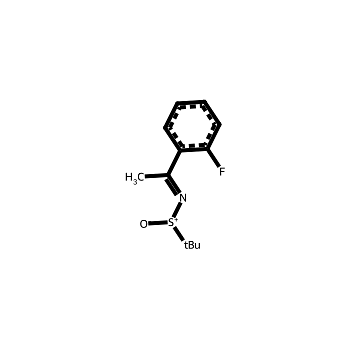 CC(=N[S+]([O-])C(C)(C)C)c1ccccc1F